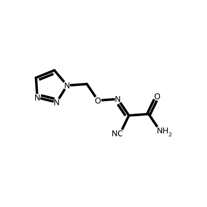 N#C/C(=N\OCn1ccnn1)C(N)=O